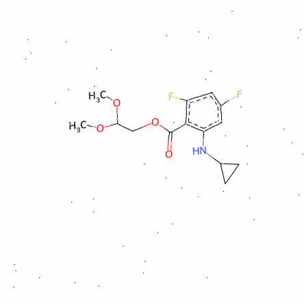 COC(COC(=O)c1c(F)cc(F)cc1NC1CC1)OC